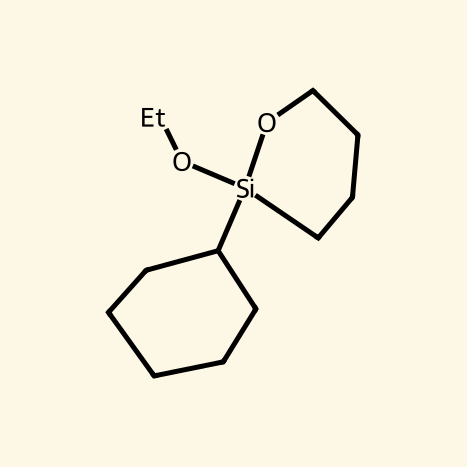 CCO[Si]1(C2CCCCC2)CCCCO1